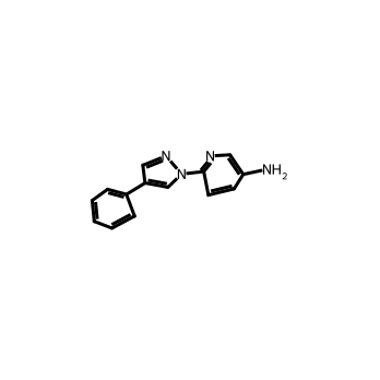 Nc1ccc(-n2cc(-c3ccccc3)cn2)nc1